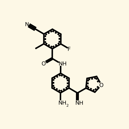 Cc1c(C#N)ccc(F)c1C(=O)Nc1ccc(N)c(C(=N)c2ccoc2)c1